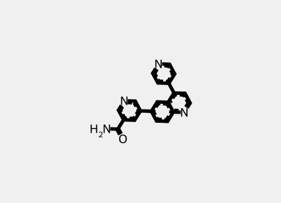 NC(=O)c1cncc(-c2ccc3nccc(-c4ccncc4)c3c2)c1